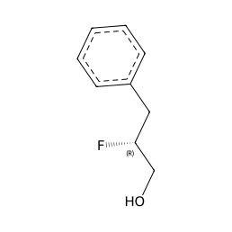 OC[C@H](F)Cc1ccccc1